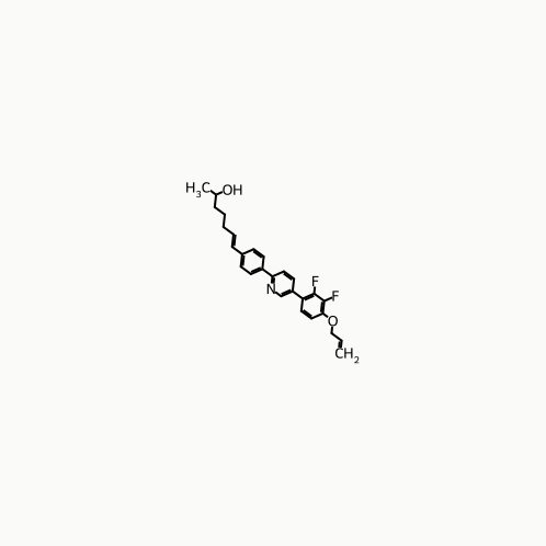 C=CCOc1ccc(-c2ccc(-c3ccc(C=CCCCC(C)O)cc3)nc2)c(F)c1F